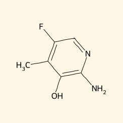 Cc1c(F)cnc(N)c1O